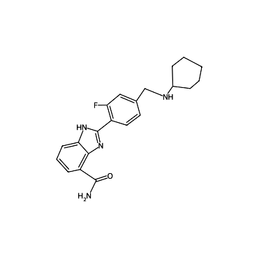 NC(=O)c1cccc2[nH]c(-c3ccc(CNC4CCCCC4)cc3F)nc12